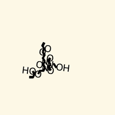 C=CC(=O)OCCn1c(=O)n(CCO)c(=O)n(CCOC(O)C=C)c1=O